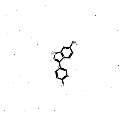 Bc1ccc2c(-c3ccc(F)cc3)n[nH]c2c1